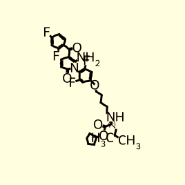 CC(C)C[C@@H](NCCCCCOc1cc(F)c(-n2c(N)c(C(=O)c3ccc(F)cc3F)ccc2=O)c(F)c1)C(=O)OC1CCCC1